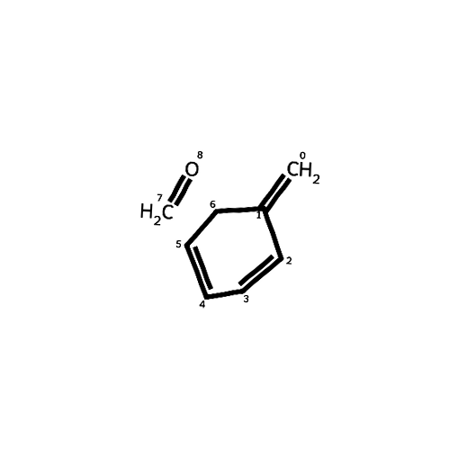 C=C1C=CC=CC1.C=O